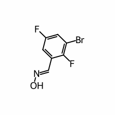 ON=Cc1cc(F)cc(Br)c1F